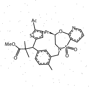 CCC[C@@H]1CN(Cc2cc(C(c3ccc(C(C)=O)s3)C(C)(C)C(=O)OC)ccc2C)S(=O)(=O)c2cccnc2O1